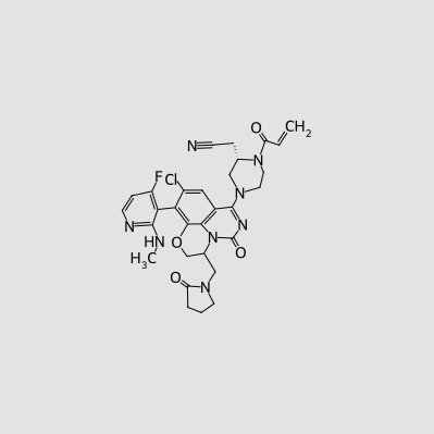 C=CC(=O)N1CCN(c2nc(=O)n3c4c(c(-c5c(F)ccnc5NC)c(Cl)cc24)OCC3CN2CCCC2=O)C[C@@H]1CC#N